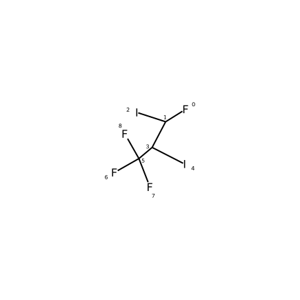 FC(I)C(I)C(F)(F)F